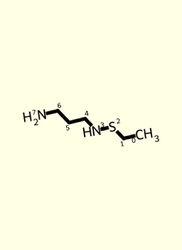 CCSNCCCN